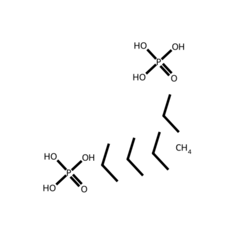 C.CCC.CCC.CCC.CCC.O=P(O)(O)O.O=P(O)(O)O